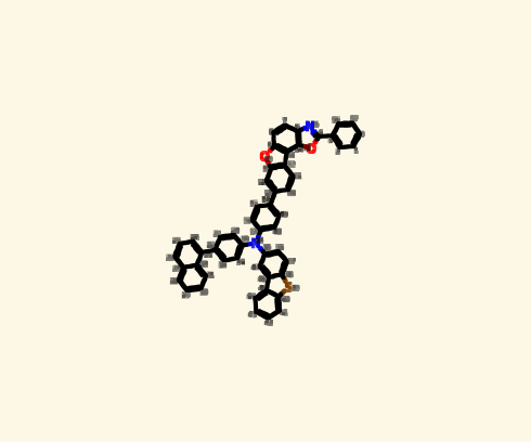 c1ccc(-c2nc3ccc4oc5cc(-c6ccc(N(c7ccc(-c8cccc9ccccc89)cc7)c7ccc8sc9ccccc9c8c7)cc6)ccc5c4c3o2)cc1